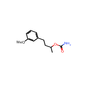 COc1cccc(CCC(C)OC(N)=O)c1